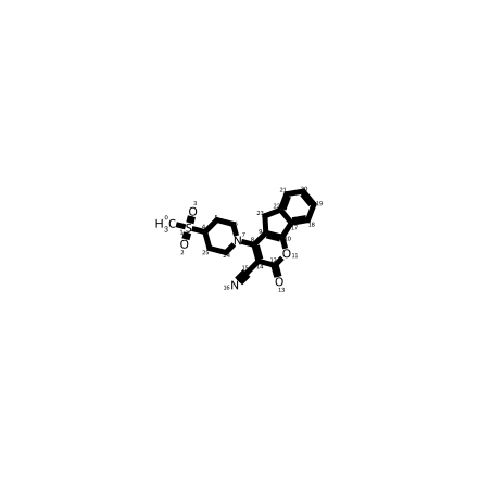 CS(=O)(=O)C1CCN(c2c3c(oc(=O)c2C#N)-c2ccccc2C3)CC1